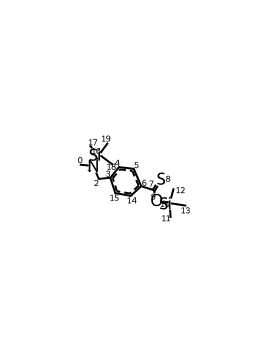 CN(Cc1ccc(C(=S)O[Si](C)(C)C)cc1)[Si](C)(C)C